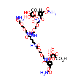 NOCCOCCOCCNC(=O)[C@H](CCCCNC(=O)COCCOCCNC(=O)c1cc(COC(N)=O)ccc1O[C@@H]1O[C@H](C(=O)O)[C@@H](O)[C@H](O)[C@H]1O)NC(=O)COCCOCCNC(=O)c1cc(COC(N)=O)ccc1O[C@@H]1O[C@H](C(=O)O)[C@@H](O)[C@H](O)[C@H]1O